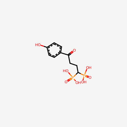 O=C(CCC(P(=O)(O)O)P(=O)(O)O)c1ccc(O)cc1